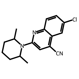 CC1CCCC(C)N1c1cc(C#N)c2cc(Cl)ccc2n1